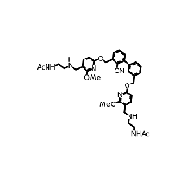 COc1nc(OCc2cccc(-c3cccc(COc4ccc(CNCCNC(C)=O)c(OC)n4)c3C#N)c2)ccc1CNCCNC(C)=O